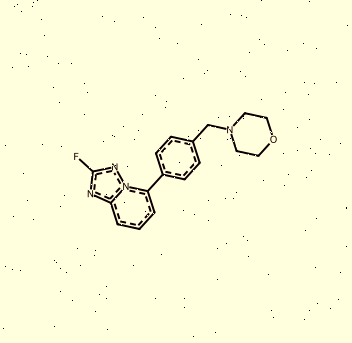 Fc1nc2cccc(-c3ccc(CN4CCOCC4)cc3)n2n1